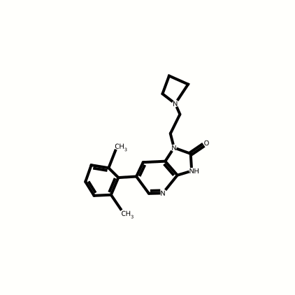 Cc1cccc(C)c1-c1cnc2[nH]c(=O)n(CCN3CCC3)c2c1